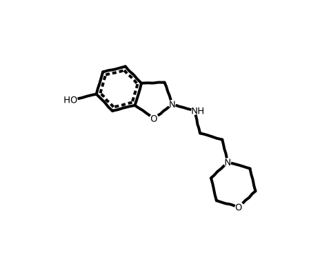 Oc1ccc2c(c1)ON(NCCN1CCOCC1)C2